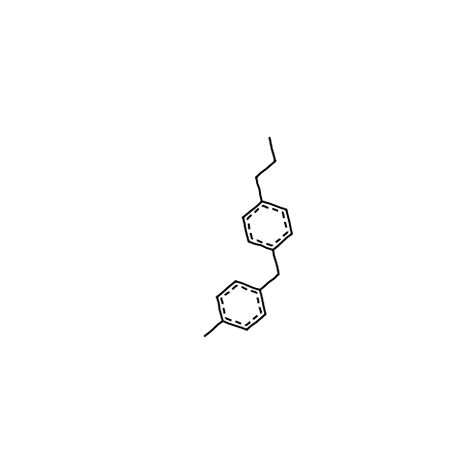 CCCc1ccc(Cc2ccc(C)cc2)cc1